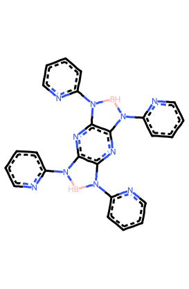 B1N(c2ccccn2)c2nc3c(nc2N1c1ccccn1)N(c1ccccn1)BN3c1ccccn1